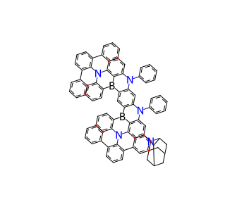 c1ccc(-c2cccc(-c3ccccc3)c2N2c3ccccc3B3c4cc5c(cc4N(c4ccccc4)c4cccc2c43)N(c2ccccc2)c2cc(N3C4CC6CC(C4)CC3C6)cc3c2B5c2ccccc2N3c2c(-c3ccccc3)cccc2-c2ccccc2)cc1